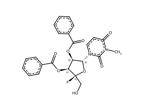 Cn1c(=O)ccn([C@@H]2O[C@](F)(CO)[C@@H](OC(=O)c3ccccc3)[C@H]2OC(=O)c2ccccc2)c1=O